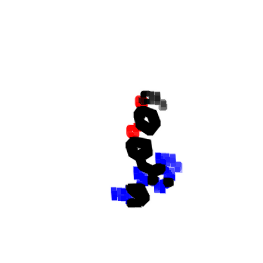 COc1cccc(Oc2ccc(-c3nn(C4CC5CNC4C5)c4ncnc(N)c34)cc2)c1